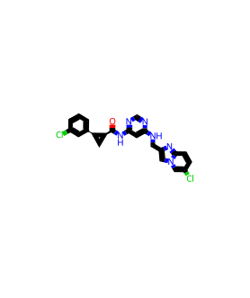 O=C(Nc1cc(NCc2cn3cc(Cl)ccc3n2)ncn1)[C@H]1C[C@@H]1c1cccc(Cl)c1